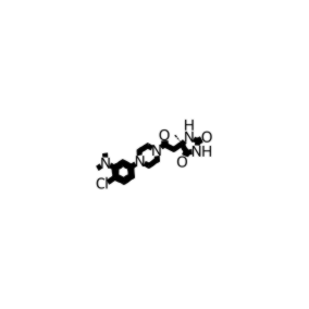 CN(C)c1cc(N2CCN(C(=O)C[C@@]3(C)NC(=O)NC3=O)CC2)ccc1Cl